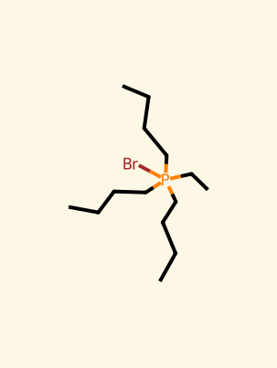 CCCCP(Br)(CC)(CCCC)CCCC